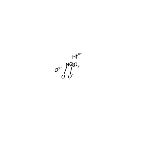 O=[N+]([O-])[O-].O=[N+]([O-])[O-].[Hf+4].[O-2]